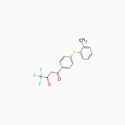 Cc1ccccc1Sc1ccc(C(=O)CC(=O)C(F)(F)F)cc1